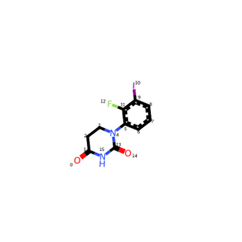 O=C1CCN(c2cccc(I)c2F)C(=O)N1